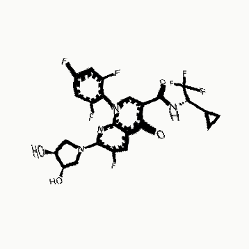 O=C(N[C@@H](C1CC1)C(F)(F)F)c1cn(-c2c(F)cc(F)cc2F)c2nc(N3C[C@@H](O)[C@@H](O)C3)c(F)cc2c1=O